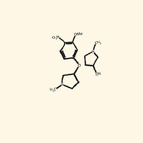 CN1CCC(O)C1.COc1cc(OC2CCN(C)C2)ccc1[N+](=O)[O-]